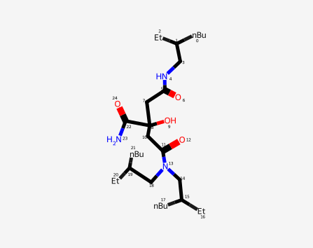 CCCCC(CC)CNC(=O)CC(O)(CC(=O)N(CC(CC)CCCC)CC(CC)CCCC)C(N)=O